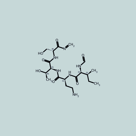 C=NC(=O)[C@@H](CO)NC(=O)[C@@H](NC(=O)[C@H](CCN)NC(=O)[C@@H](NC=O)[C@@H](C)CC)[C@@H](C)O